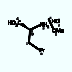 CC(C)C[C@H](N)C(=O)O.COC.Cl